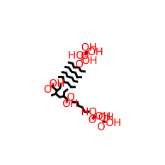 CCC(CC(C)C(CC)C(=O)O)C(=O)O.CCCCCC.CCCCCC.CCCCCC.CCCCCC.CCCCCC.O=C(O)O.O=C(O)O.O=C(O)O.O=C(O)O